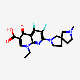 CCn1cc(C(=O)O)c(=O)c2c(F)c(F)c(N3CCC4(CCN(C)C4)C3)nc21